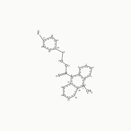 C[n+]1c2ccccc2c(C(=S)OOCc2ccc(F)cc2)c2ccccc21